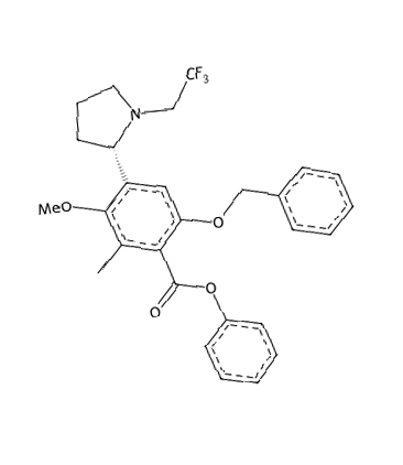 COc1c([C@@H]2CCCN2CC(F)(F)F)cc(OCc2ccccc2)c(C(=O)Oc2ccccc2)c1C